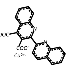 O=C([O-])c1c(-c2ccc3ccccc3n2)nc2ccccc2c1C(=O)[O-].[Cu+2]